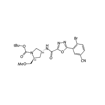 COC[C@@H]1C[C@@H](NC(=O)c2nnc(-c3cc(C#N)ccc3Br)o2)CN1C(=O)OC(C)(C)C